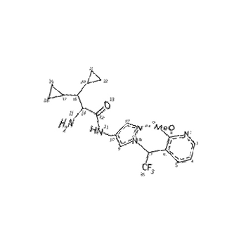 COc1ncccc1C(n1cc(NC(=O)C(N)C(C2CC2)C2CC2)cn1)C(F)(F)F